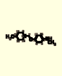 CNc1ccc(OCN2CCC(C)CC2)cc1